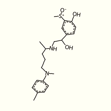 Cc1ccc(N(C)CCCC(C)NCC(O)c2ccc(O)c([S+](C)[O-])c2)cc1